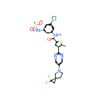 Cc1sc(C(=O)Nc2cc(Cl)cc(NS(C)(=O)=O)c2)cc1-c1ncc(N2CCC3(C2)CC3(F)F)cn1